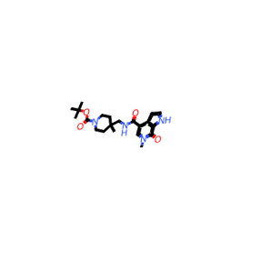 Cn1cc(C(=O)NCC2(C)CCN(C(=O)OC(C)(C)C)CC2)c2cc[nH]c2c1=O